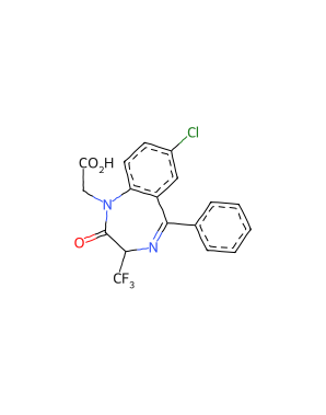 O=C(O)CN1C(=O)C(C(F)(F)F)N=C(c2ccccc2)c2cc(Cl)ccc21